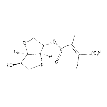 C/C(C(=O)O)=C(/C)C(=O)O[C@H]1CO[C@H]2[C@@H]1OC[C@H]2O